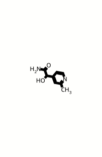 Cc1cc(C(O)C(N)=O)ccn1